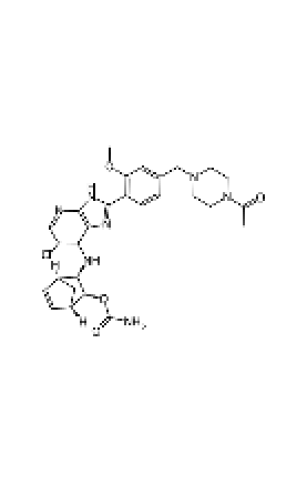 COc1cc(CN2CCN(C(C)=O)CC2)ccc1-c1nc2c(N[C@H]3[C@@H](OC(N)=O)[C@@H]4C=C[C@@H]3C4)c(Cl)cnc2[nH]1